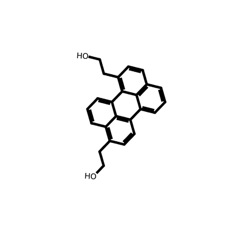 OCCc1ccc2c3cccc4ccc(CCO)c(c5cccc1c25)c43